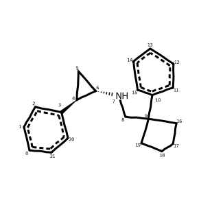 c1ccc([C@H]2C[C@@H]2NCC2(c3ccccc3)CCCC2)cc1